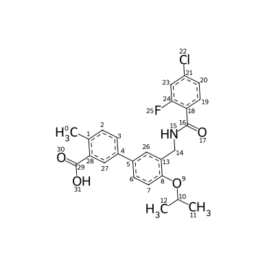 Cc1ccc(-c2ccc(OC(C)C)c(CNC(=O)c3ccc(Cl)cc3F)c2)cc1C(=O)O